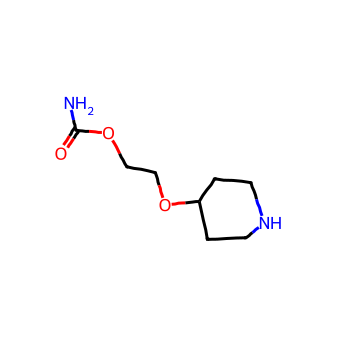 NC(=O)OCCOC1CCNCC1